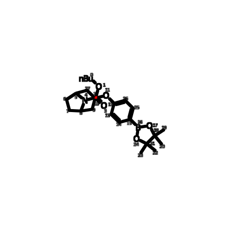 CCCCOC(=O)N1C2CCC1CC(Oc1ccc(B3OC(C)(C)C(C)(C)O3)cc1)C2